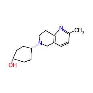 Cc1ccc2c(n1)CCN([C@H]1CC[C@@H](O)CC1)C2